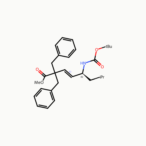 COC(=O)C(/C=C/[C@H](CC(C)C)NC(=O)OC(C)(C)C)(Cc1ccccc1)Cc1ccccc1